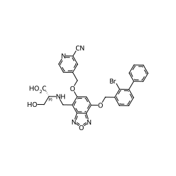 N#Cc1cc(COc2cc(OCc3cccc(-c4ccccc4)c3Br)c3nonc3c2CN[C@H](CO)C(=O)O)ccn1